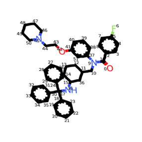 O=C(c1ccc(F)cc1)N(CC1CCCC(NC(c2ccccc2)(c2ccccc2)c2ccccc2)C1)c1cccc(OCCN2CCCCC2)c1